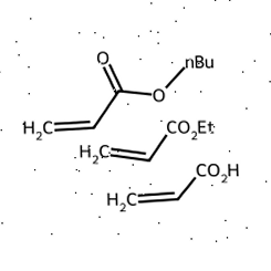 C=CC(=O)O.C=CC(=O)OCC.C=CC(=O)OCCCC